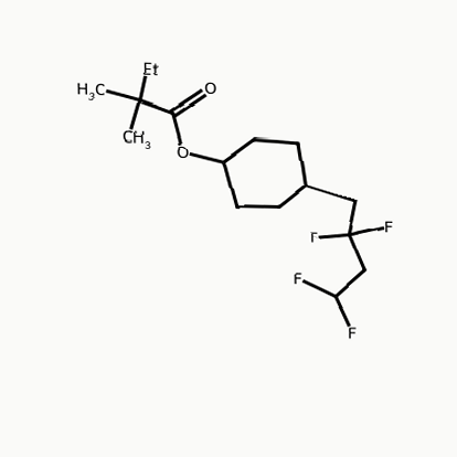 CCC(C)(C)C(=O)OC1CCC(CC(F)(F)CC(F)F)CC1